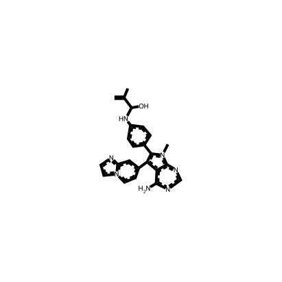 C=C(C)C(O)Nc1ccc(-c2c(-c3ccn4ccnc4c3)c3c(N)ncnc3n2C)cc1